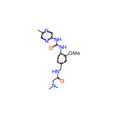 COc1cc(CNC(=O)CN(C)C)ccc1NC(=O)Nc1cnc(C)cn1